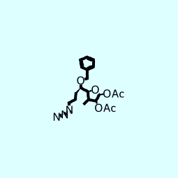 CC(=O)O[C@@H]1O[C@H]([C@@H](CCCN=[N+]=[N-])OCc2ccccc2)C(C)[C@@H]1OC(C)=O